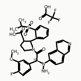 COc1cc([C@@H](C(=O)N2CCC(C(=O)O)C2c2ccccc2S(=O)(=O)C(C)C)N(N)c2ccc3cnccc3c2)ccc1F.O=C(O)C(F)(F)F